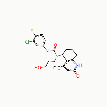 O=C(Nc1ccc(F)c(Cl)c1)N(CCCO)C1CCCc2[nH]c(=O)cc(C(F)(F)F)c21